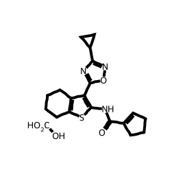 O=C(Nc1sc2c(c1-c1nc(C3CC3)no1)CCCC2)C1=CCCC1.O=C(O)O